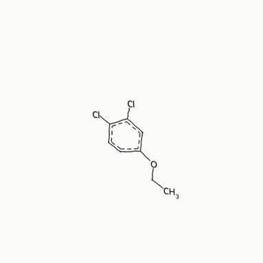 CCOc1ccc(Cl)c(Cl)c1